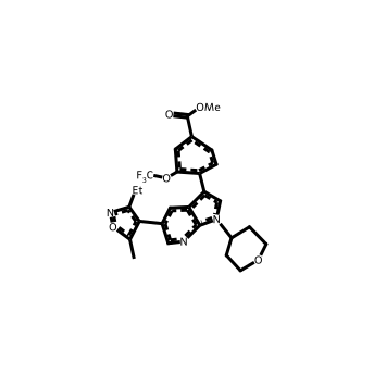 CCc1noc(C)c1-c1cnc2c(c1)c(-c1ccc(C(=O)OC)cc1OC(F)(F)F)cn2C1CCOCC1